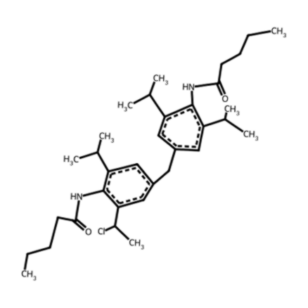 CCCCC(=O)Nc1c(C(C)C)cc(Cc2cc(C(C)C)c(NC(=O)CCCC)c(C(C)Cl)c2)cc1C(C)C